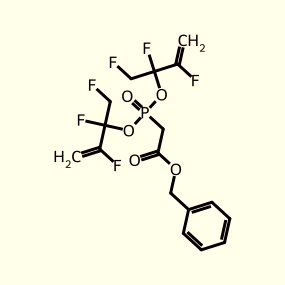 C=C(F)C(F)(CF)OP(=O)(CC(=O)OCc1ccccc1)OC(F)(CF)C(=C)F